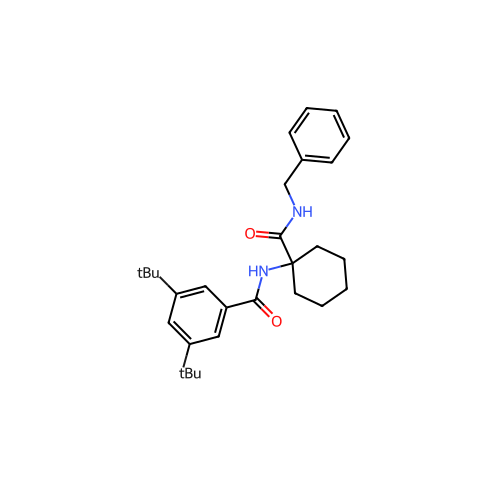 CC(C)(C)c1cc(C(=O)NC2(C(=O)NCc3ccccc3)CCCCC2)cc(C(C)(C)C)c1